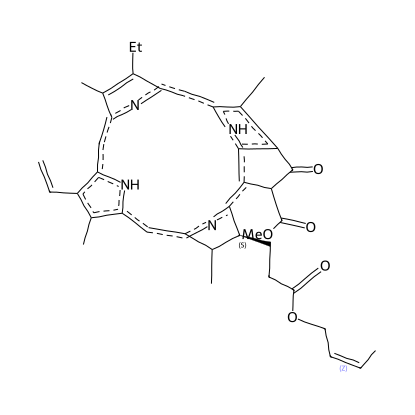 C=Cc1c(C)c2cc3nc(c4c5[nH]c(cc6nc(cc1[nH]2)C(C)=C6CC)c(C)c5C(=O)C4C(=O)OC)[C@@H](CCC(=O)OC/C=C\C)C3C